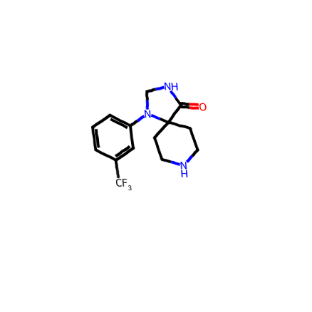 O=C1NCN(c2cccc(C(F)(F)F)c2)C12CCNCC2